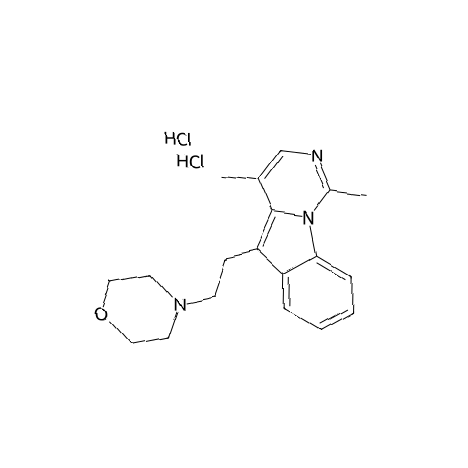 Cc1cnc(C)n2c1c(CCN1CCOCC1)c1ccccc12.Cl.Cl